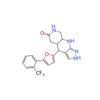 O=C1CC2C(CN1)Nc1n[nH]cc1C2c1ccc(-c2ccccc2C(F)(F)F)o1